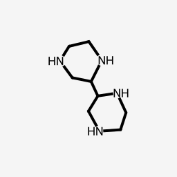 C1CNC(C2CNCCN2)CN1